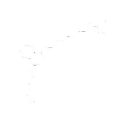 CCCCCOC(=O)C1CCCCC1C(=O)OCCCCCCCCC(C)C